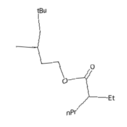 CCCC(CC)C(=O)OCCC(C)CC(C)(C)C